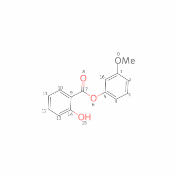 COc1cccc(OC(=O)c2ccccc2O)c1